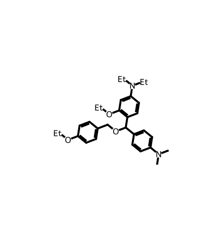 CCOc1ccc(COC(c2ccc(N(C)C)cc2)c2ccc(N(CC)CC)cc2OCC)cc1